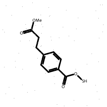 COC(=O)CCc1ccc(C(=O)OS)cc1